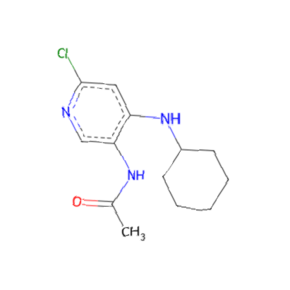 CC(=O)Nc1cnc(Cl)cc1NC1CCCCC1